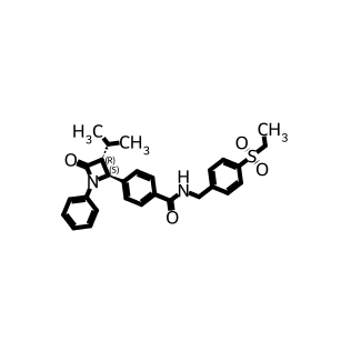 CCS(=O)(=O)c1ccc(CNC(=O)c2ccc([C@@H]3[C@@H](C(C)C)C(=O)N3c3ccccc3)cc2)cc1